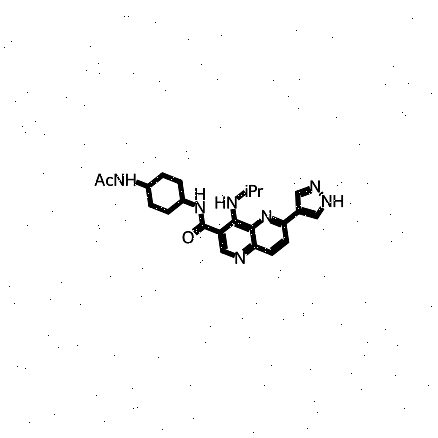 CC(=O)NC1CCC(NC(=O)c2cnc3ccc(-c4cn[nH]c4)nc3c2NC(C)C)CC1